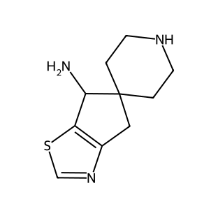 NC1c2scnc2CC12CCNCC2